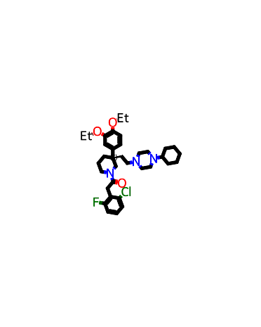 CCOc1ccc([C@@]2(CCN3CCN(C4CCCCC4)CC3)CCCN(C(=O)Cc3c(F)cccc3Cl)C2)cc1OCC